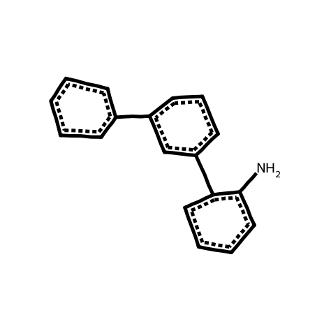 Nc1ccccc1-c1cccc(-c2ccccc2)c1